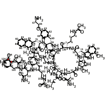 CC(=O)NCCCC[C@@H]1NC(=O)[C@H](Cc2c[nH]c3c(C)cccc23)NC(=O)[C@H]([C@@H](C)O)NC(=O)[C@H](CC(N)=O)NC(=O)[C@@H](NC(C)=O)C(C)(C)SSC(C)(C)[C@@H](C(=O)N[C@@H](Cc2ccc(OCCN)cc2)C(=O)N[C@@H](Cc2ccc3ccccc3c2)C(=O)NC(C)(CCCCN)C(=O)N[C@@H](CCCCNC(C)=O)C(=O)N[C@@H](CC(N)=O)C(=O)N[C@@H](Cc2cccnc2)C(=O)N(C)CC(N)=O)NC1=O